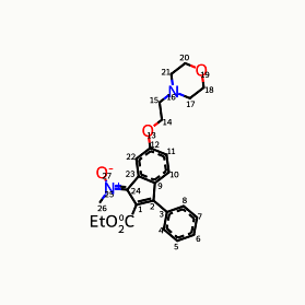 CCOC(=O)C1=C(c2ccccc2)c2ccc(OCCN3CCOCC3)cc2/C1=[N+](/C)[O-]